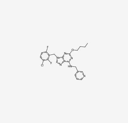 CCCCOc1nc(NCc2cccnc2)c2ncn(Cc3c(F)ccc(Cl)c3F)c2n1